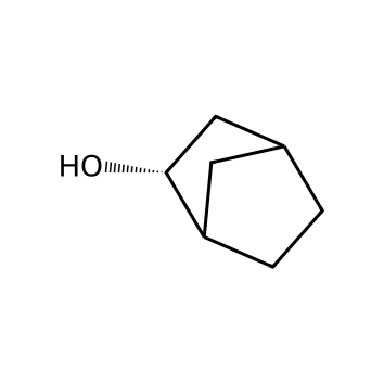 O[C@@H]1CC2CCC1C2